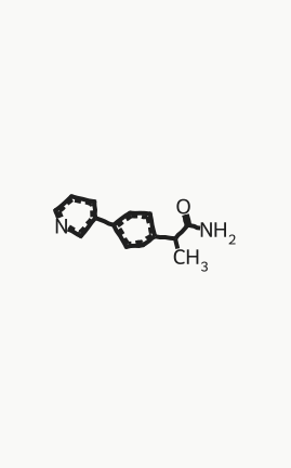 CC(C(N)=O)c1ccc(-c2cccnc2)cc1